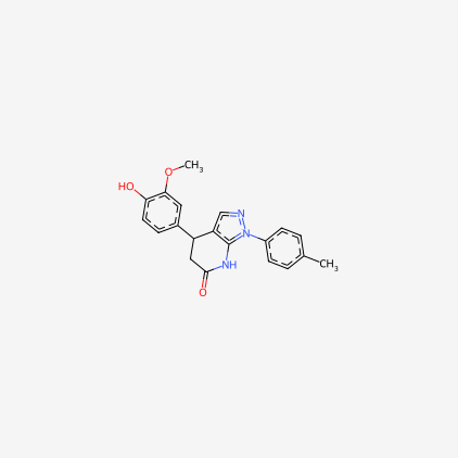 COc1cc(C2CC(=O)Nc3c2cnn3-c2ccc(C)cc2)ccc1O